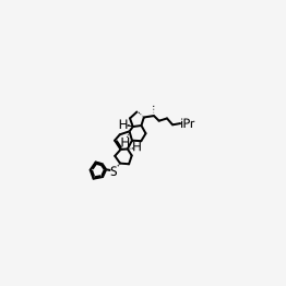 CC(C)CCC[C@@H](C)[C@H]1CC[C@@H]2C1CC[C@H]1[C@H]2CC=C2C[C@@H](Sc3ccccc3)CC[C@@]21C